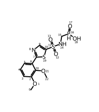 COc1cccc(-c2ncc(S(=O)(=O)NC[PH](=O)O)s2)c1OC